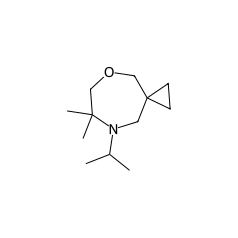 CC(C)N1CC2(CC2)COCC1(C)C